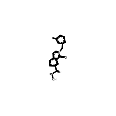 Cc1cccc(Cn2ccc3ccc(C(=O)NO)cc3c2=O)c1